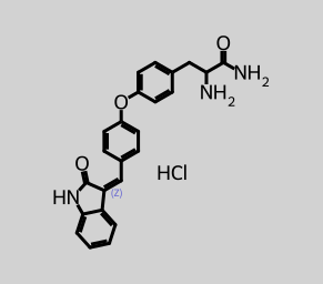 Cl.NC(=O)C(N)Cc1ccc(Oc2ccc(/C=C3\C(=O)Nc4ccccc43)cc2)cc1